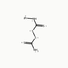 CC(C)NC(=S)SSC(N)=S